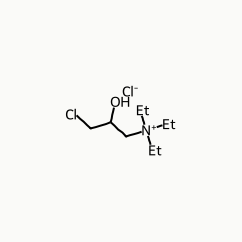 CC[N+](CC)(CC)CC(O)CCl.[Cl-]